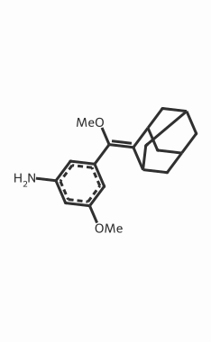 COC(=C1C2CC3CC(C2)CC1C3)c1cc(N)cc(OC)c1